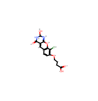 O=C(O)CCCOc1ccc2c(c1Cl)OC1=NC(O)NC(=O)C1=C2